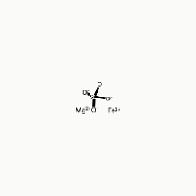 [Fe+2].[Mg+2].[O-][Si]([O-])([O-])[O-]